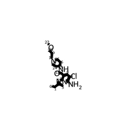 CCc1cn2c(N)c(Cl)cc(C(=O)NC3CCN(CCCOC)CC3)c2n1